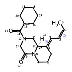 C/C=C\C=C1/CCCN2C(=O)CN(C(=O)C3CCCCC3)C[C@@H]12